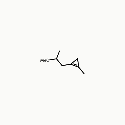 COC(C)CC1=C(C)C1